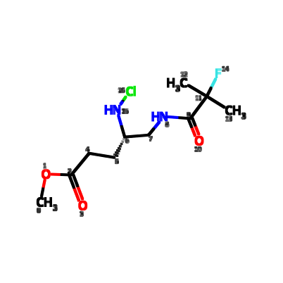 COC(=O)CC[C@@H](CNC(=O)C(C)(C)F)NCl